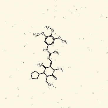 C=C1/C(=C\N=C(/C)Nc2cc(OC)c(OC)c(OC)c2)N(C)C(=O)N(CC)N1C1CCCC1